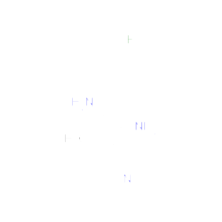 C[C@H](N)C(N)(c1ccc(F)cc1)c1cccnc1